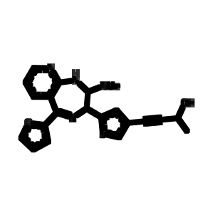 CNC1Nc2ncccc2C(c2ccco2)=NC1c1cc(C#CC(C)O)cs1